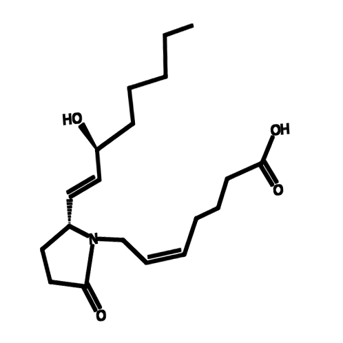 CCCCC[C@H](O)/C=C/[C@H]1CCC(=O)N1C/C=C\CCCC(=O)O